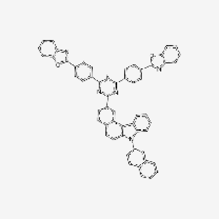 c1ccc2cc(-n3c4ccccc4c4c5cc(-c6nc(-c7ccc(-c8nc9ccccc9o8)cc7)nc(-c7ccc(-c8nc9ccccc9o8)cc7)n6)ccc5ccc43)ccc2c1